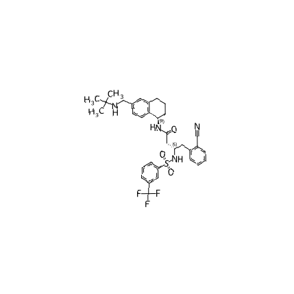 CC(C)(C)NCc1ccc2c(c1)CCC[C@H]2NC(=O)C[C@H](Cc1ccccc1C#N)NS(=O)(=O)c1cccc(C(F)(F)F)c1